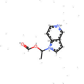 CC(OC=O)n1ccc2cnccc21